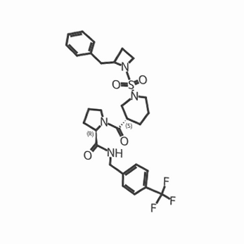 O=C(NCc1ccc(C(F)(F)F)cc1)[C@H]1CCCN1C(=O)[C@H]1CCCN(S(=O)(=O)N2CCC2Cc2ccccc2)C1